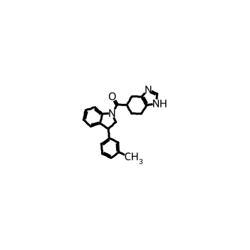 Cc1cccc(C2CN(C(=O)C3CCc4[nH]cnc4C3)c3ccccc32)c1